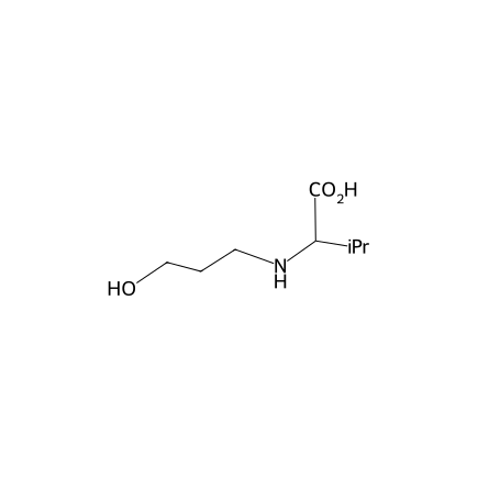 CC(C)C(NCCCO)C(=O)O